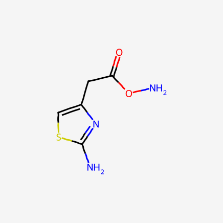 NOC(=O)Cc1csc(N)n1